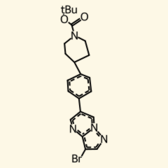 CC(C)(C)OC(=O)N1CCC(c2ccc(-c3cnc4c(Br)cnn4c3)cc2)CC1